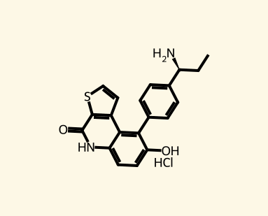 CC[C@H](N)c1ccc(-c2c(O)ccc3[nH]c(=O)c4sccc4c23)cc1.Cl